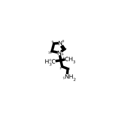 CC(C)(CCN)N1C=NCC1